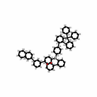 c1ccc(-c2ccccc2N(c2ccc(-c3cccc(-c4ccc5ccccc5c4)c3)cc2)c2ccc(-c3cccc4c3-c3ccccc3C4(c3ccccc3)c3ccccc3)cc2)cc1